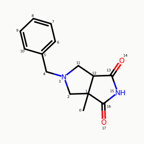 CC12CN(Cc3ccccc3)CC1C(=O)NC2=O